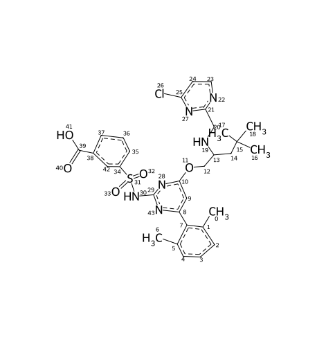 Cc1cccc(C)c1-c1cc(OCC(CC(C)(C)C)NCc2nccc(Cl)n2)nc(NS(=O)(=O)c2cccc(C(=O)O)c2)n1